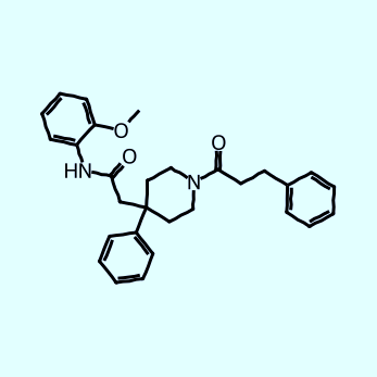 COc1ccccc1NC(=O)CC1(c2ccccc2)CCN(C(=O)CCc2ccccc2)CC1